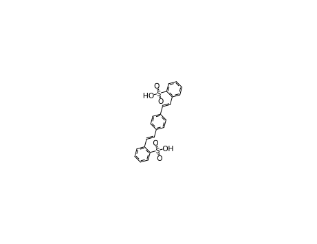 O=S(=O)(O)c1ccccc1C=Cc1ccc(C=Cc2ccccc2S(=O)(=O)O)cc1